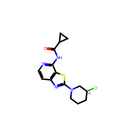 O=C(Nc1nccc2nc(N3CCC[C@H](Cl)C3)sc12)C1CC1